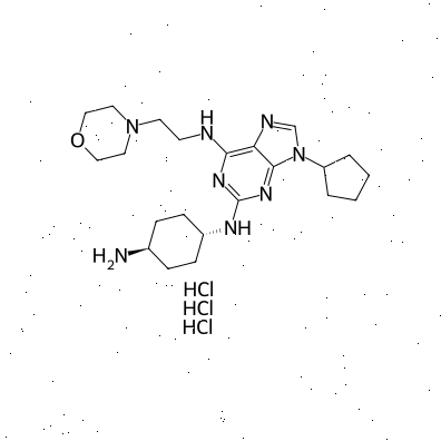 Cl.Cl.Cl.N[C@H]1CC[C@H](Nc2nc(NCCN3CCOCC3)c3ncn(C4CCCC4)c3n2)CC1